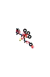 C/C=C(/C)[C@@H](C/C=C(\C)[C@@H](O[Si](c1ccccc1)(c1ccccc1)C(C)(C)C)[C@H](OCc1ccccc1)C(C/C=C(/C)COCc1ccc(OC)cc1)OCSC)O[Si](C)(C)C(C)(C)C